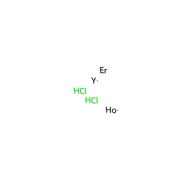 Cl.Cl.[Er].[Ho].[Y]